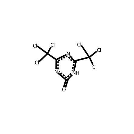 O=c1nc(C(Cl)(Cl)Cl)nc(C(Cl)(Cl)Cl)[nH]1